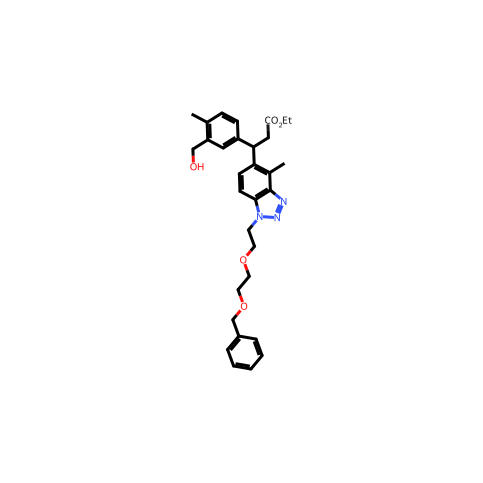 CCOC(=O)CC(c1ccc(C)c(CO)c1)c1ccc2c(nnn2CCOCCOCc2ccccc2)c1C